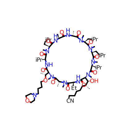 CC[C@@H]1NC(=O)[C@H]([C@H](O)[C@H](C)CCCCCC#N)N(C)C(=O)[C@H](C(C)C)N(C)C(=O)[C@H](CC(C)C)N(C)C(=O)[C@H](CC(C)C)N(C)C(=O)[C@@H](C)NC(=O)[C@H](C)NC(=O)[C@H](CC(C)C)N(C)C(=O)[C@H](C(C)C)NC(=O)[C@H]([C@@H](C)OCCCCN2CCOCC2)N(C)C(=O)[C@@H](C)N(C)C1=O